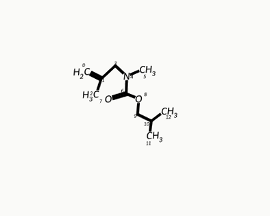 C=C(C)CN(C)C(=O)OCC(C)C